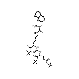 CC(C)(C)OC(=O)CC[C@@H](NC(=O)N[C@@H](CCCCNC(=O)[C@@H](N)Cc1ccc2ccccc2n1)C(=O)OC(C)(C)C)C(=O)OC(C)(C)C